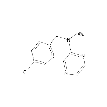 CCCCN(Cc1ccc(Cl)cc1)c1cnccn1